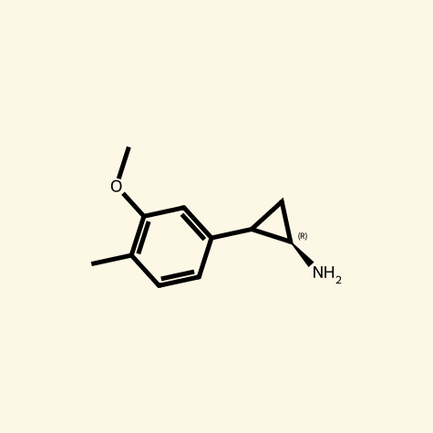 COc1cc(C2C[C@H]2N)ccc1C